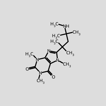 CNC(C)(C)CC(C)(C)c1nc2c(c(=O)n(C)c(=O)n2C)n1C